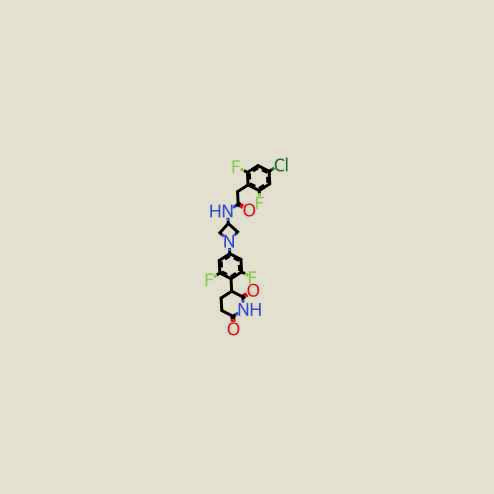 O=C1CCC(c2c(F)cc(N3CC(NC(=O)Cc4c(F)cc(Cl)cc4F)C3)cc2F)C(=O)N1